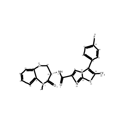 CN1C(=O)[C@@H](NC(=O)c2cn3c(-c4ccc(F)cc4)c(C(F)(F)F)sc3n2)COc2ccccc21